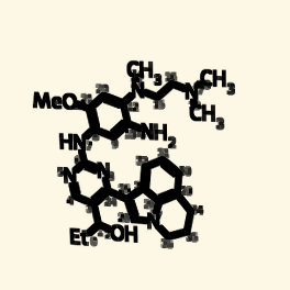 CCC(O)c1cnc(Nc2cc(N)c(N(C)CCN(C)C)cc2OC)nc1-c1cn2c3c(cccc13)CCC2